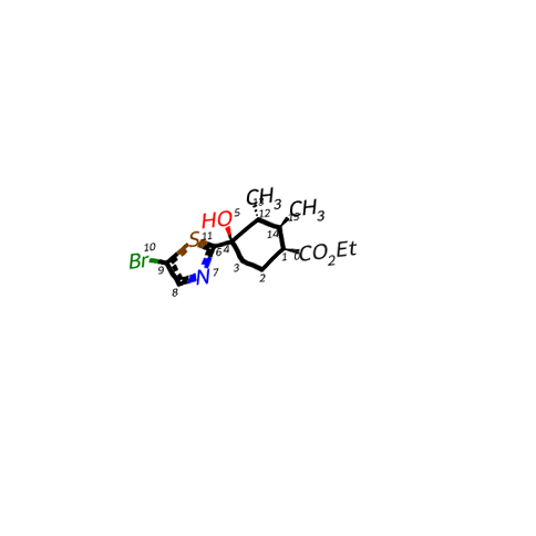 CCOC(=O)[C@H]1CC[C@](O)(c2ncc(Br)s2)[C@H](C)[C@H]1C